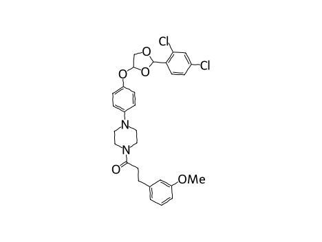 COc1cccc(CCC(=O)N2CCN(c3ccc(OC4COC(c5ccc(Cl)cc5Cl)O4)cc3)CC2)c1